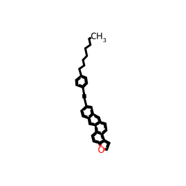 CCCCCCCCc1ccc(C#Cc2ccc3cc4c(ccc5c6ccoc6ccc45)cc3c2)cc1